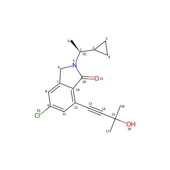 C[C@@H](C1CC1)N1Cc2cc(Cl)cc(C#CC(C)(C)O)c2C1=O